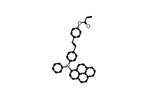 C=CC(=O)Oc1ccc(/C=C/c2ccc(N(c3ccccc3)c3ccc4ccc5cccc6ccc3c4c56)cc2)cc1